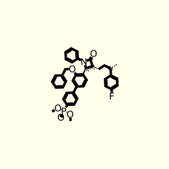 COP(=O)(OC)c1ccc(-c2ccc([C@@H]3[C@@H](CC[C@H](C)c4ccc(F)cc4)C(=O)N3c3ccccc3)c(OCc3ccccc3)c2)cc1